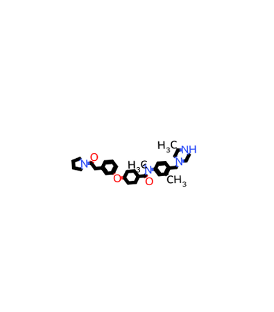 Cc1cc(N(C)C(=O)C2CCC(Oc3cccc(CC(=O)N4CCCC4)c3)CC2)ccc1CN1CCN[C@@H](C)C1